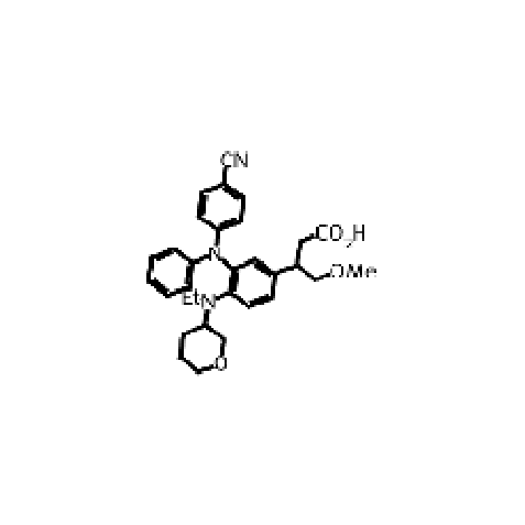 CCN(c1ccc(C(COC)CC(=O)O)cc1N(c1ccccc1)c1ccc(C#N)cc1)C1CCCOC1